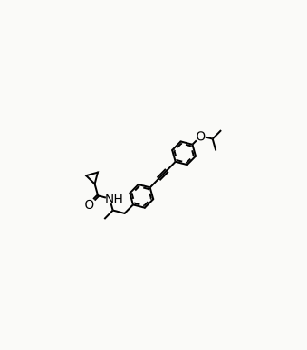 CC(Cc1ccc(C#Cc2ccc(OC(C)C)cc2)cc1)NC(=O)C1CC1